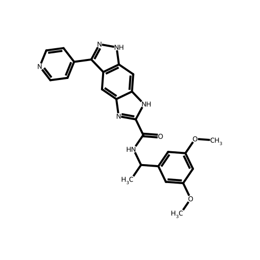 COc1cc(OC)cc(C(C)NC(=O)c2nc3cc4c(-c5ccncc5)n[nH]c4cc3[nH]2)c1